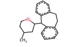 CC1CCOC(C2c3ccccc3CCc3ccccc32)C1